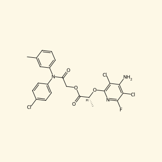 Cc1cccc(N(C(=O)COC(=O)[C@@H](C)Oc2nc(F)c(Cl)c(N)c2Cl)c2ccc(Cl)cc2)c1